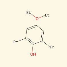 CC(C)c1cccc(C(C)C)c1O.CCOCC